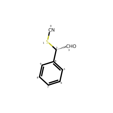 N#CS[C@H](C=O)c1ccccc1